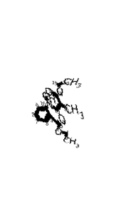 CCOC(=O)c1ccccc1N(C)CC(C)C(=O)OCC